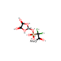 COC(=O)C(F)(F)S(=O)(=O)OB1OC(=O)C(=O)O1